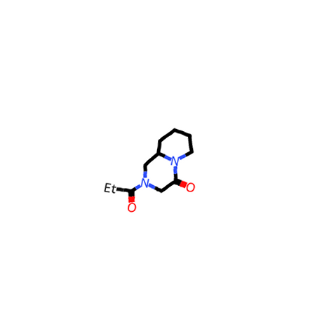 CCC(=O)N1CC(=O)N2CCCCC2C1